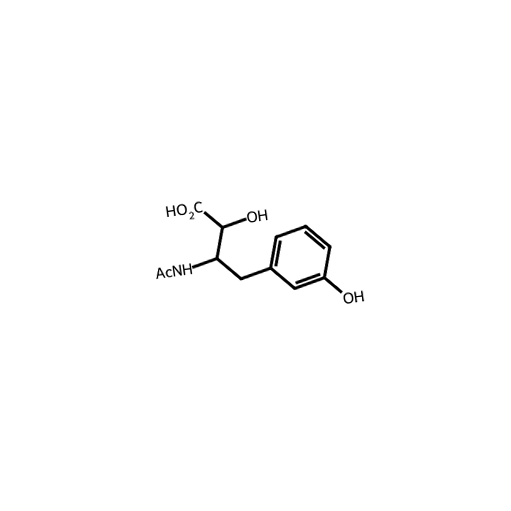 CC(=O)NC(Cc1cccc(O)c1)C(O)C(=O)O